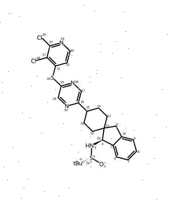 CC(C)(C)[S@@+]([O-])N[C@@H]1c2ccccc2CC12CCC(c1cnc(Sc3ccnc(Cl)c3Cl)cn1)CC2